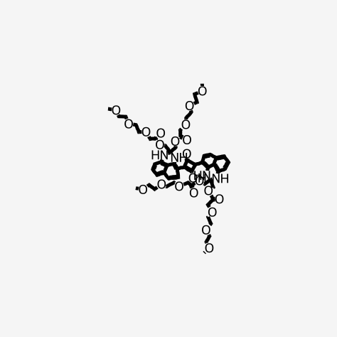 COCCOCCOCC(=O)OCC1(COC(=O)COCCOCCOC)Nc2cccc3ccc(C4=C(O)C(c5ccc6cccc7c6c5NC(COC(=O)COCCOCCOC)(COC(=O)COCCOCCOC)N7)C4=O)c(c23)N1